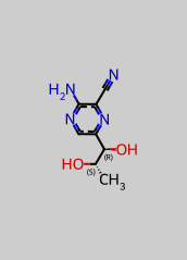 C[C@H](O)[C@H](O)c1cnc(N)c(C#N)n1